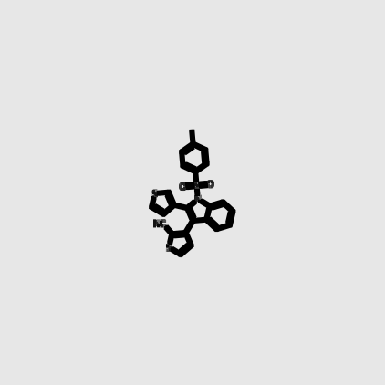 Cc1ccc(S(=O)(=O)n2c(-c3ccsc3)c(-c3ccsc3C#N)c3ccccc32)cc1